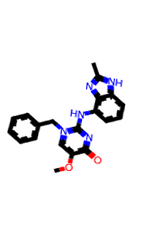 COc1cn(Cc2ccccc2)c(Nc2cccc3[nH]c(C)nc23)nc1=O